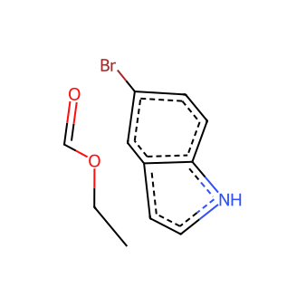 Brc1ccc2[nH]ccc2c1.CCOC=O